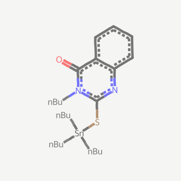 CCCCn1c([S][Sn]([CH2]CCC)([CH2]CCC)[CH2]CCC)nc2ccccc2c1=O